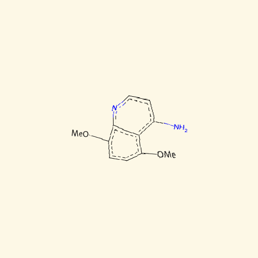 COc1ccc(OC)c2c(N)ccnc12